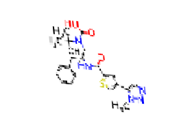 Cn1nncc1-c1csc(C(=O)N[C@@H](Cc2ccccc2)CN(C(=O)O)C(C)(C)C)c1